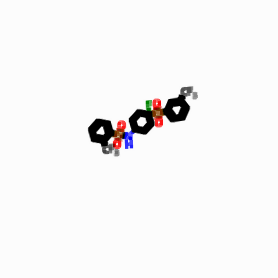 O=S(=O)(N[C@H]1CC[C@@](F)(S(=O)(=O)c2cccc(C(F)(F)F)c2)CC1)c1ccccc1C(F)(F)F